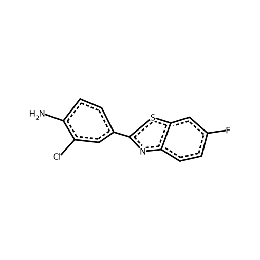 Nc1ccc(-c2nc3ccc(F)cc3s2)cc1Cl